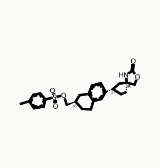 Cc1ccc(S(=O)(=O)OC[C@@H]2CCc3cc([C@H]4CC[C@]5(COC(=O)N5)C4)ccc3C2)cc1